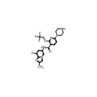 Cc1cn2cc(NC(=O)c3ccc(N4CCNCC4)nc3OCC(F)(F)F)cc(F)c2n1